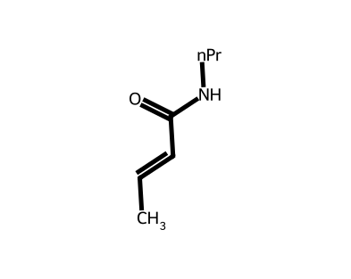 [CH2]CCNC(=O)C=CC